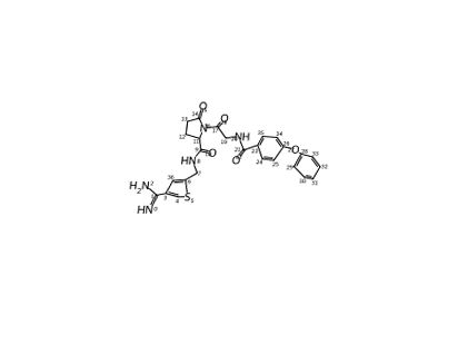 N=C(N)c1csc(CNC(=O)C2CCC(=O)N2C(=O)CNC(=O)c2ccc(Oc3ccccc3)cc2)c1